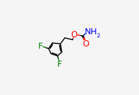 NC(=O)OCCc1cc(F)cc(F)c1